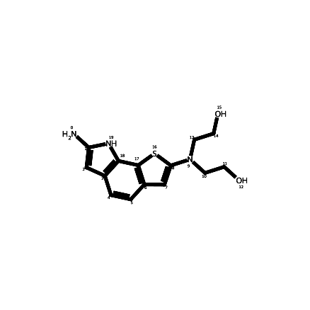 Nc1cc2ccc3cc(N(CCO)CCO)sc3c2[nH]1